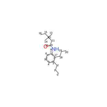 CCCc1cccc(NC(=O)CC(C)(C)CC)c1CCC